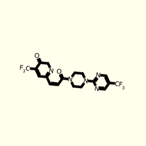 O=C1CN=C(/C=C\C(=O)N2CCN(c3ncc(C(F)(F)F)cn3)CC2)C=C1C(F)(F)F